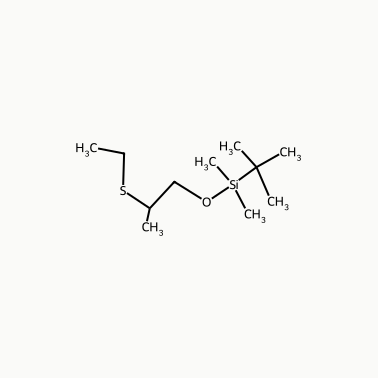 CCSC(C)CO[Si](C)(C)C(C)(C)C